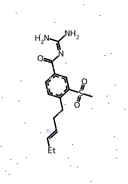 CC/C=C/CCc1ccc(C(=O)N=C(N)N)cc1S(C)(=O)=O